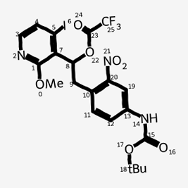 COc1nccc(I)c1C(Cc1ccc(NC(=O)OC(C)(C)C)cc1[N+](=O)[O-])OC(=O)C(F)(F)F